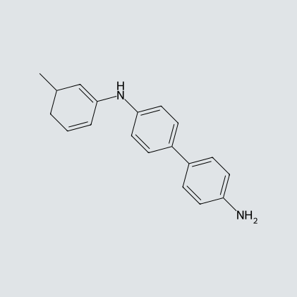 CC1C=C(Nc2ccc(-c3ccc(N)cc3)cc2)C=CC1